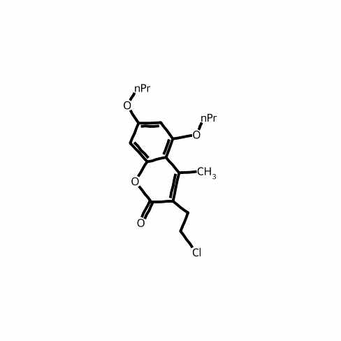 CCCOc1cc(OCCC)c2c(C)c(CCCl)c(=O)oc2c1